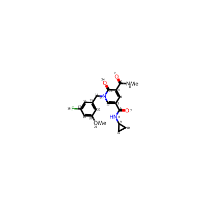 CNC(=O)c1cc(C(=O)NC2CC2)cn(Cc2cc(F)cc(OC)c2)c1=O